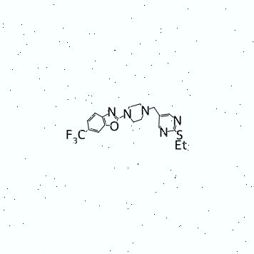 CCSc1ncc(CN2CCN(c3nc4ccc(C(F)(F)F)cc4o3)CC2)cn1